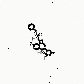 O=C(NC1CC(Cc2c(-c3ccc(F)cc3)[nH]c3c(F)cc(F)cc23)C1)OCc1ccccc1